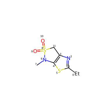 CCc1nc2c(s1)N(C)S(=O)(=O)C2